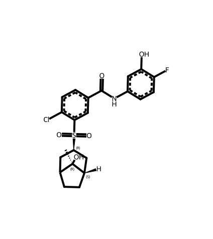 C[C@@]1(O)C2CC[C@H]1C[C@H](S(=O)(=O)c1cc(C(=O)Nc3ccc(F)c(O)c3)ccc1Cl)C2